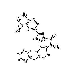 CN(C(=O)n1cnc(-c2ccc(O)c([N+](=O)[O-])c2)c1)C1CCN(Cc2ccccc2)CC1